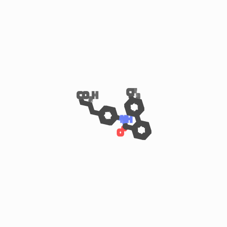 O=C(O)CCCc1ccc(NC(=O)c2ccccc2-c2ccc(C(F)(F)F)cc2)cc1